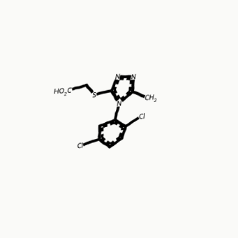 Cc1nnc(SCC(=O)O)n1-c1cc(Cl)ccc1Cl